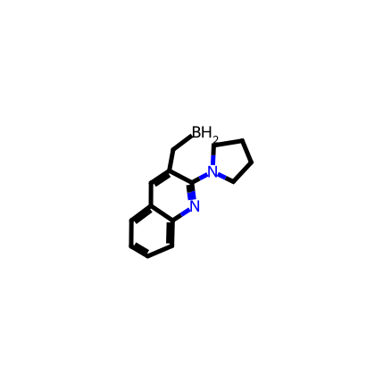 BCc1cc2ccccc2nc1N1CCCC1